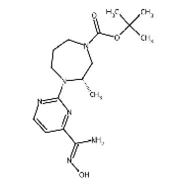 C[C@H]1CN(C(=O)OC(C)(C)C)CCCN1c1nccc(/C(N)=N/O)n1